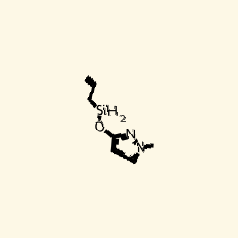 C=CC[SiH2]Oc1ccn(C)n1